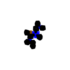 c1ccc(-c2nc(-c3ccc4c5ccccc5n(-c5ccccc5)c4c3)nc(-c3cc(-n4c5ccccc5c5c6ccccc6ccc54)cc4c3sc3ccccc34)n2)cc1